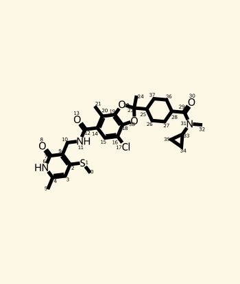 CSc1cc(C)[nH]c(=O)c1CNC(=O)c1cc(Cl)c2c(c1C)OC(C)(C1CCC(C(=O)N(C)C3CC3)CC1)O2